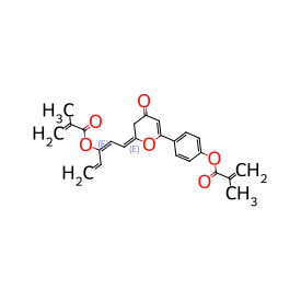 C=C/C(=C\C=C1/CC(=O)C=C(c2ccc(OC(=O)C(=C)C)cc2)O1)OC(=O)C(=C)C